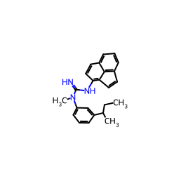 CCC(C)c1cccc(N(C)C(=N)Nc2ccc3cccc4c3c2C=C4)c1